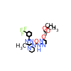 Cc1nc(-c2cccc(C(F)(F)F)c2)nc2c1N1CCCC(C1)N2C(=O)Nc1nccc(OC[C@H]2COC(C)(C)O2)n1